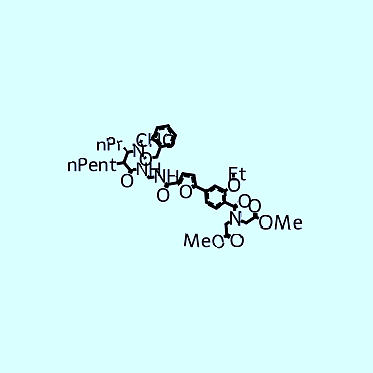 CCCCCC(C(=O)NCNC(=O)c1ccc(-c2ccc(C(=O)N(CC(=O)OC)CC(=O)OC)c(OCC)c2)o1)[C@@H](CCC)N(C=O)OCc1ccccc1